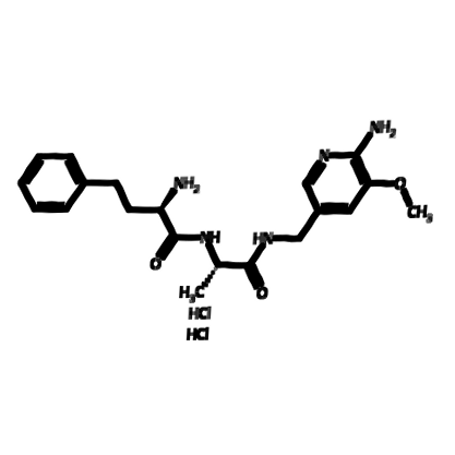 COc1cc(CNC(=O)[C@H](C)NC(=O)[C@H](N)CCc2ccccc2)cnc1N.Cl.Cl